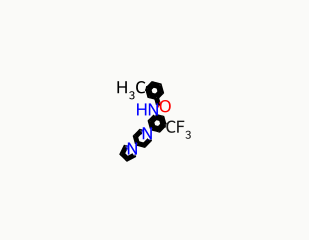 Cc1cccc(C(=O)Nc2cc(N3CCC(N4CCCC4)CC3)cc(C(F)(F)F)c2)c1